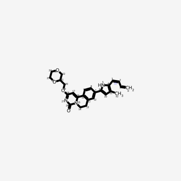 C=C/C=C\c1[nH]c(-c2ccc3c(c2)CCn2c-3cc(OCC3COCCO3)nc2=O)cc1C